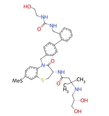 CSc1ccc2c(c1)SC[C@@H](NC(=O)CC(C)(C)NC[C@H](O)CO)C(=O)N2Cc1ccc(-c2ccccc2CNC(=O)NCCO)cc1